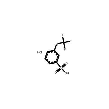 Cl.O=S(=O)(O)c1cccc(OC(F)(F)F)c1